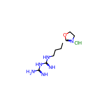 C1=NCCO1.CCCCNC(=N)NC(=N)N.Cl